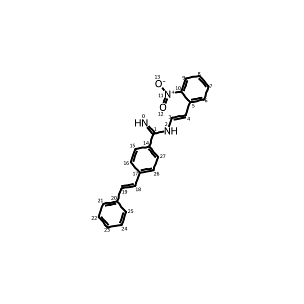 N=C(N/C=C/c1ccccc1[N+](=O)[O-])c1ccc(/C=C/c2ccccc2)cc1